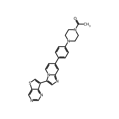 CC(=O)N1CCN(c2ccc(-c3ccn4c(-c5csc6cncnc56)cnc4c3)cc2)CC1